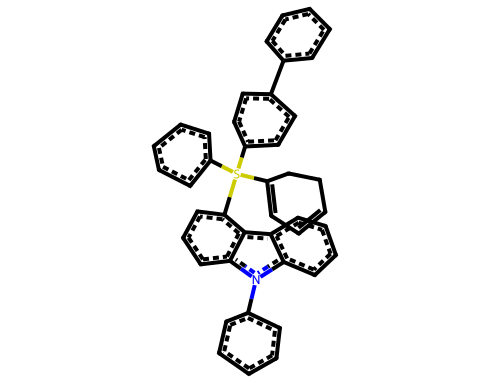 C1=CCCC(S(c2ccccc2)(c2ccc(-c3ccccc3)cc2)c2cccc3c2c2ccccc2n3-c2ccccc2)=C1